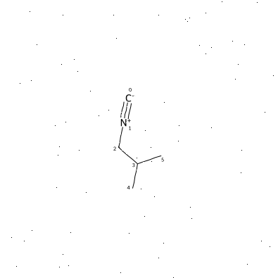 [C-]#[N+]CC(C)C